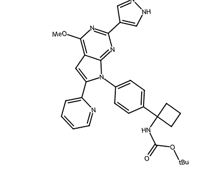 COc1nc(-c2cn[nH]c2)nc2c1cc(-c1ccccn1)n2-c1ccc(C2(NC(=O)OC(C)(C)C)CCC2)cc1